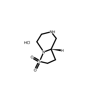 Cl.O=S1(=O)CC[C@H]2CNCCN21